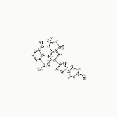 CCOc1cccc(OCC)c1-n1c2c(cc(-c3nc(-c4ccc(Cl)cc4)cs3)c1=O)C(=O)CC(C)(C)C2